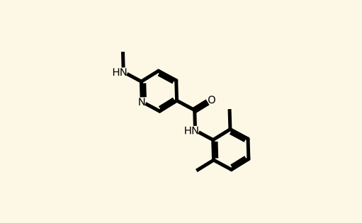 CNc1ccc(C(=O)Nc2c(C)cccc2C)cn1